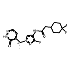 C[C@H](c1ccn[nH]c1=O)n1cc(NC(=O)CC2CCC(F)(F)CC2)c(F)n1